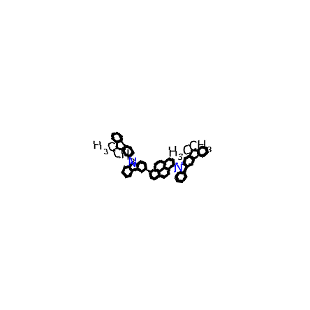 CC1(C)c2ccccc2-c2ccc(-n3c4ccccc4c4cc(-c5ccc6ccc7c(-n8c9ccccc9c9cc%10c(cc98)C(C)(C)c8ccccc8-%10)ccc8ccc5c6c87)ccc43)cc21